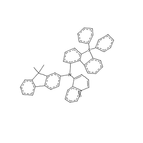 C=C/C=C\C=C(/c1ccccc1)N(c1ccc2c(c1)C(C)(C)c1ccccc1-2)c1cccc2c1-c1ccccc1S2(c1ccccc1)c1ccccc1